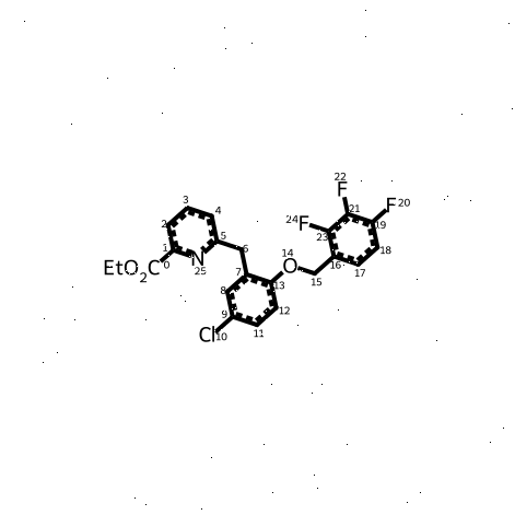 CCOC(=O)c1cccc(Cc2cc(Cl)ccc2OCc2ccc(F)c(F)c2F)n1